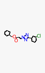 O=C(/C=C/n1cnc(-c2cccc(Cl)c2)n1)OCc1ccccc1